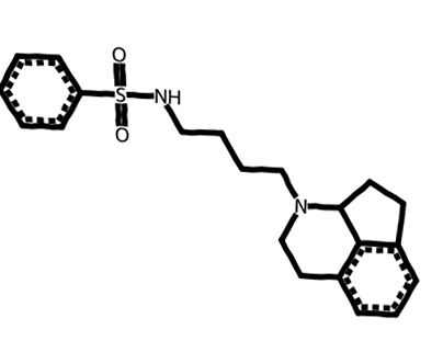 O=S(=O)(NCCCCN1CCc2cccc3c2C1CC3)c1ccccc1